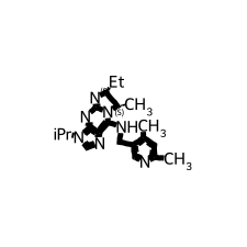 CC[C@@H]1N=C2N=c3c(ncn3C(C)C)=C(NCc3cnc(C)cc3C)N2[C@H]1C